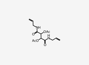 C=CCNC(=O)C(OC(C)=O)C(OC(C)=O)C(=O)NCC=C